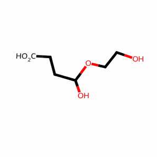 O=C(O)CCC(O)OCCO